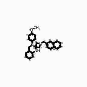 COc1ccc(N2Cc3ccccc3NC23CN(Cc2ccc4ccccc4c2)C3)cc1